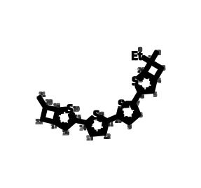 CCC1(C)Cc2cc(-c3ccc(-c4ccc(-c5cc6c(s5)C(C)C6)s4)s3)sc21